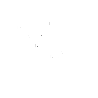 Cc1cc(C)nc(N2CC3CCN(C(=O)c4ccccc4-c4ccccc4)CC32)n1